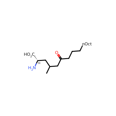 CCCCCCCCCCCC(=O)CC(C)C[C@H](N)C(=O)O